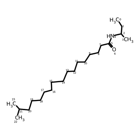 CCC(C)NC(=O)CCCCCCCCCCCCCCC(C)C